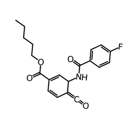 CCCCCOC(=O)C1=CC(NC(=O)c2ccc(F)cc2)C(=C=O)C=C1